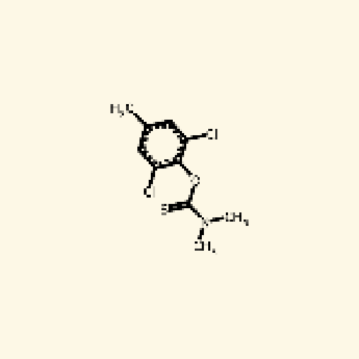 Cc1cc(Cl)c(OC(=S)N(C)C)c(Cl)c1